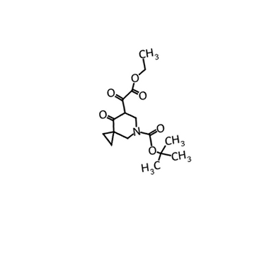 CCOC(=O)C(=O)C1CN(C(=O)OC(C)(C)C)CC2(CC2)C1=O